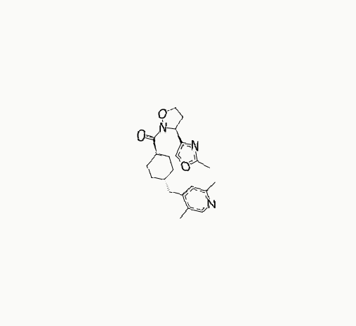 Cc1cc(C[C@H]2CC[C@H](C(=O)N3OCC[C@H]3c3coc(C)n3)CC2)c(C)cn1